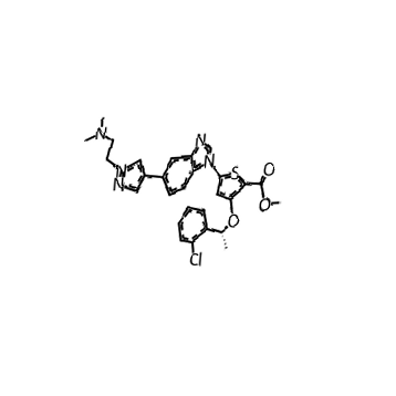 COC(=O)c1sc(-n2cnc3cc(-c4cnn(CCN(C)C)c4)ccc32)cc1O[C@H](C)c1ccccc1Cl